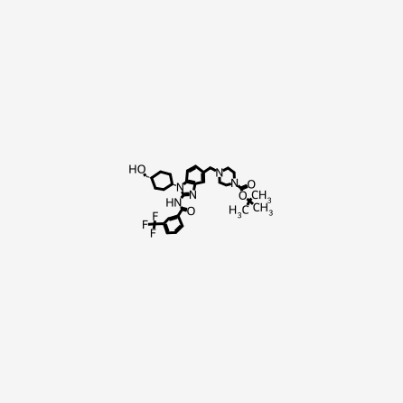 CC(C)(C)OC(=O)N1CCN(Cc2ccc3c(c2)nc(NC(=O)c2cccc(C(F)(F)F)c2)n3[C@H]2CC[C@@H](CO)CC2)CC1